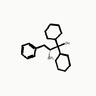 N[C@H](Cc1ccccc1)C(O)(C1CCCCC1)C1CCCCC1